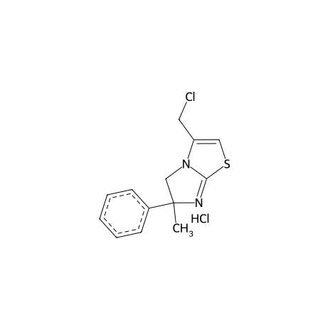 CC1(c2ccccc2)CN2C(CCl)=CSC2=N1.Cl